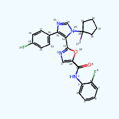 O=C(Nc1ccccc1F)c1cnc(-c2c(-c3ccc(F)cc3)ncn2C2(I)CCCC2)o1